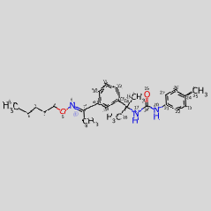 CCCCCO/N=C(\C)c1cccc(C(C)(C)NC(=O)Nc2ccc(C)cc2)c1